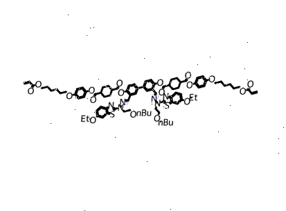 C=CC(=O)OCCCCCCOc1ccc(OC(=O)C2CCC(C(=O)Oc3ccc(-c4ccc(OC(=O)C5CCC(C(=O)Oc6ccc(OCCCCCCOC(=O)C=C)cc6)CC5)c(/C=N/N(CCOCCCC)c5nc6ccc(OCC)cc6s5)c4)cc3/C=N/N(CCOCCCC)c3nc4ccc(OCC)cc4s3)CC2)cc1